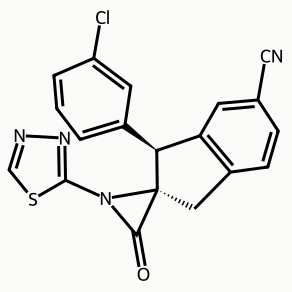 N#Cc1ccc2c(c1)[C@H](c1cccc(Cl)c1)[C@@]1(C2)C(=O)N1c1nncs1